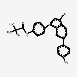 CC(C)c1cn(-c2ccc(NC(=O)C(C)(C)N)cc2)c2cc(-c3ccc(C(F)(F)F)cc3)ccc12